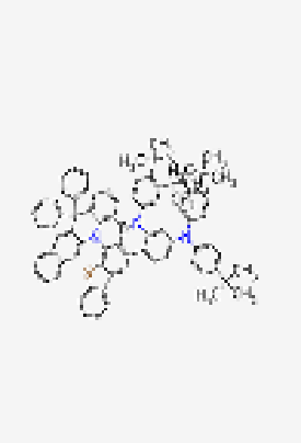 CC(C)(C)c1ccc(N(c2ccc(C(C)(C)C)cc2)c2ccc3c(c2)N(c2ccc4c(c2)C(C)(C)CCC4(C)C)B2c4cccc5c4N(c4cc6ccccc6cc4C5(c4ccccc4)c4ccccc4)c4c2c-3cc2c4sc3ccccc32)cc1